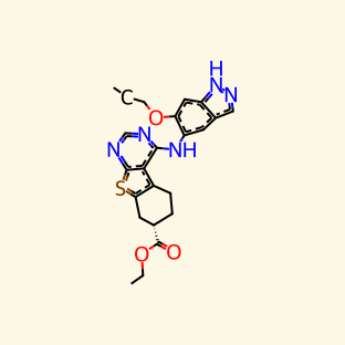 CCCOc1cc2[nH]ncc2cc1Nc1ncnc2sc3c(c12)CC[C@H](C(=O)OCC)C3